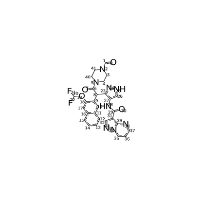 O=CN1CCN(C(=O)C(c2cc3ccccc3cc2OC(F)F)c2n[nH]cc2NC(=O)c2cnn3cccnc23)CC1